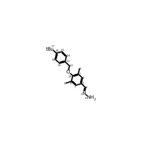 Cc1cc(C=NN)cc(C)c1OCc1ccc(C(C)(C)C)cc1